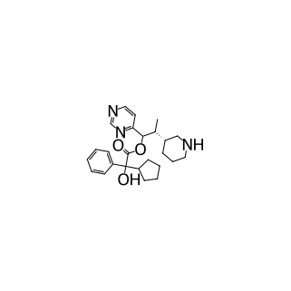 CC(C(OC(=O)C(O)(c1ccccc1)C1CCCC1)c1ccncn1)[C@H]1CCCNC1